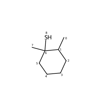 CC1CCCCC1(C)S